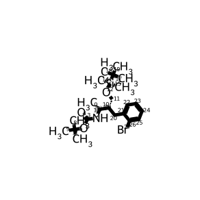 C[C@@H](NC(=O)OC(C)(C)C)[C@H](CO[Si](C)(C)C(C)(C)C)Cc1ccccc1Br